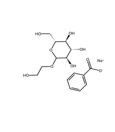 O=C([O-])c1ccccc1.OCCOC1O[C@H](CO)[C@@H](O)[C@H](O)[C@H]1O.[Na+]